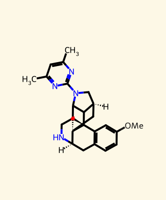 COc1ccc2c(c1)[C@]13CCN[C@H](C2)[C@]12CCC1C3[C@@H](CN1c1nc(C)cc(C)n1)C2